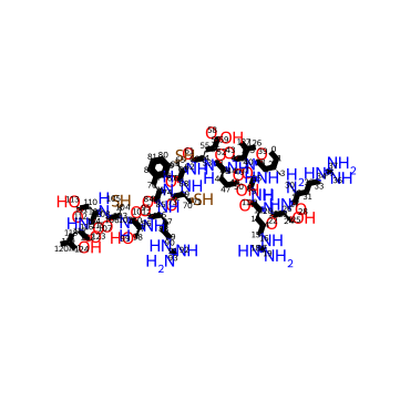 CC[C@H](C)[C@H](NC(=O)CNC(=O)[C@H](CCCNC(=N)N)NC(=O)[C@H](CO)NC(=O)[C@@H](N)CCCNC(=N)N)C(=O)N[C@H](C(=O)N[C@@H](CCC(=O)O)C(=O)N[C@@H](CCC(=O)O)C(=O)N[C@@H](CS)C(=O)N[C@@H](CS)C(=O)N[C@@H](Cc1ccccc1)C(=O)N[C@@H](CCCNC(=N)N)C(=O)N[C@@H](CO)C(=O)N[C@@H](CS)C(=O)N[C@@H](CC(=O)O)C(=O)N[C@@H](CC(C)C)C(=O)O)C(C)C